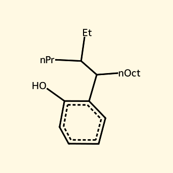 CCCCCCCCC(c1ccccc1O)C(CC)CCC